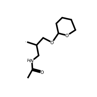 [CH2]C(CNC(C)=O)COC1CCCCO1